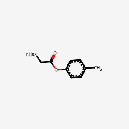 [CH2]c1ccc(OC(=O)CCCCCCC)cc1